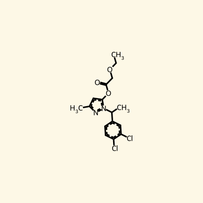 CCOCC(=O)Oc1cc(C)nn1C(C)c1ccc(Cl)c(Cl)c1